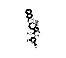 Cn1cc2c(c1C(O)Nc1cc(F)nc(C#N)c1)C=C[C@H](Cc1ccc3ccccc3c1)NS2(=N)=O